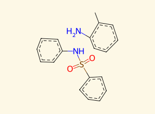 Cc1ccccc1N.O=S(=O)(Nc1ccccc1)c1ccccc1